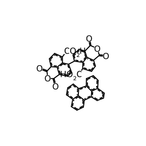 O=C1OC(=O)c2ccc(-c3ccc4c5c(ccc(C(=O)O)c35)C(=O)OC4=O)c3c(C(=O)O)ccc1c23.c1cc2cccc3c4cccc5cccc(c(c1)c23)c54